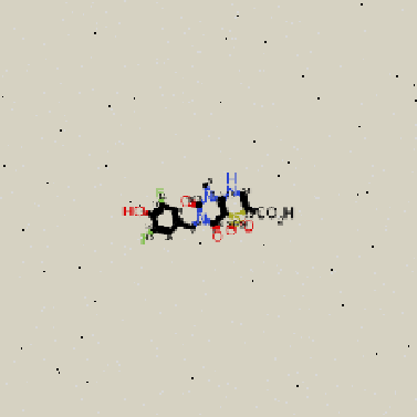 Cn1c2c(c(=O)n(Cc3cc(F)c(O)c(F)c3)c1=O)S(=O)(=O)C(C(=O)O)=CN2